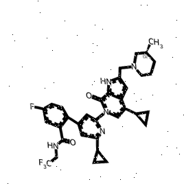 C[C@H]1CCCN(Cc2cc3c(C4CC4)cn(-c4cc(-c5ccc(F)cc5C(=O)NCC(F)(F)F)cc(C5CC5)n4)c(=O)c3[nH]2)C1